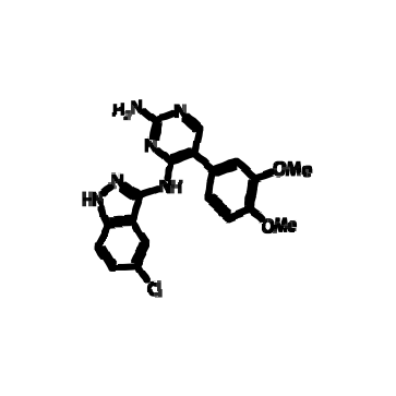 COc1ccc(-c2cnc(N)nc2Nc2n[nH]c3ccc(Cl)cc23)cc1OC